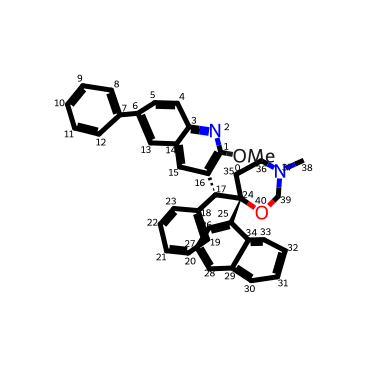 COc1nc2ccc(-c3ccccc3)cc2cc1[C@@H](c1ccccc1)[C@]1(c2cccc3ccccc23)CCN(C)CO1